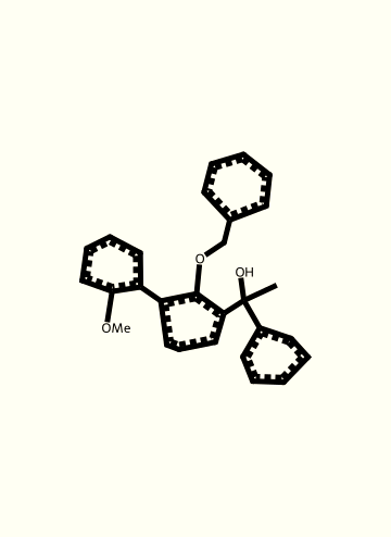 COc1ccccc1-c1cccc(C(C)(O)c2ccccc2)c1OCc1ccccc1